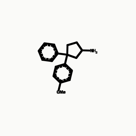 COc1ccc(C2(c3ccccc3)CCC(N)C2)cc1